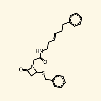 O=C(CN1C(=O)CC1SCc1ccccc1)NCCC=CCCc1ccccc1